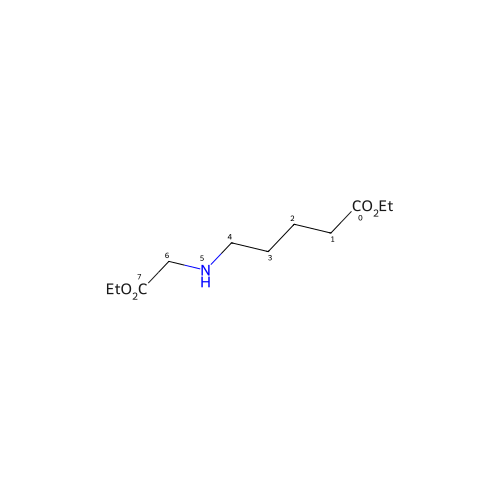 CCOC(=O)CCCCNCC(=O)OCC